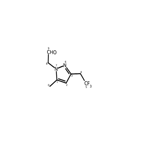 Cc1cc(CC(F)(F)F)nn1CC=O